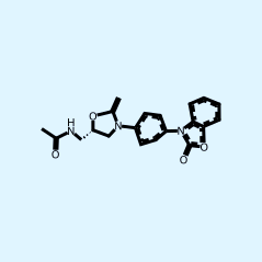 C=C1O[C@@H](CNC(C)=O)CN1c1ccc(-n2c(=O)oc3ccccc32)cc1